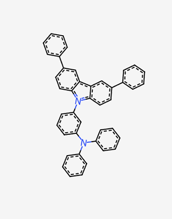 c1ccc(-c2ccc3c(c2)c2cc(-c4ccccc4)ccc2n3-c2cccc(N(c3ccccc3)c3ccccc3)c2)cc1